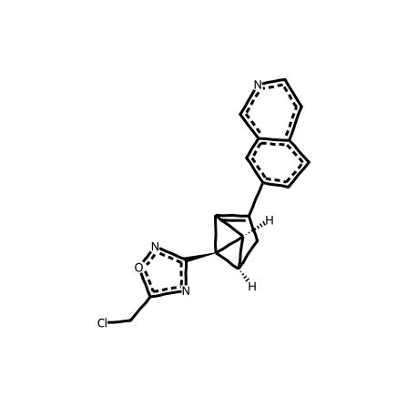 ClCc1nc([C@]23C4=C(c5ccc6ccncc6c5)C[C@@H]2[C@H]43)no1